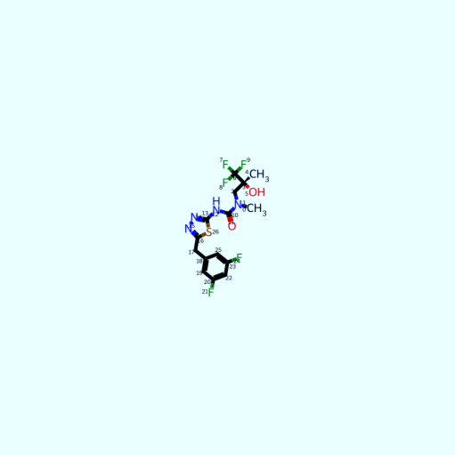 CN(C[C@@](C)(O)C(F)(F)F)C(=O)Nc1nnc(Cc2cc(F)cc(F)c2)s1